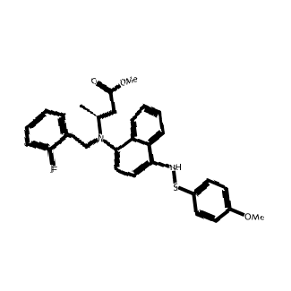 COC(=O)C[C@H](C)N(Cc1ccccc1F)c1ccc(NSc2ccc(OC)cc2)c2ccccc12